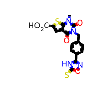 Cn1c(=O)n(Cc2ccc(-c3noc(=S)[nH]3)cc2)c(=O)c2cc(C(=O)O)sc21